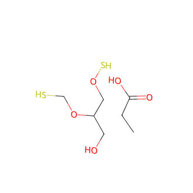 CCC(=O)O.OCC(COS)OCS